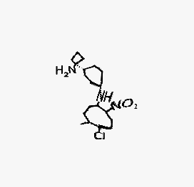 CC1CCC(N[C@H]2CC[C@@H](C3(N)CCC3)CC2)C([N+](=O)[O-])C/C=C\1Cl